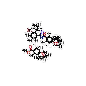 [2H]OC(=O)c1c([2H])c([2H])c(OC([2H])(C)C([2H])([2H])[2H])c(C#N)c1[2H].[2H]c1c([2H])c(Br)c(C([2H])([2H])C([2H])([2H])[2H])c(-c2noc(-c3c([2H])c([2H])c(OC([2H])(C([2H])([2H])[2H])C([2H])([2H])[2H])c(C#N)c3[2H])n2)c1[2H]